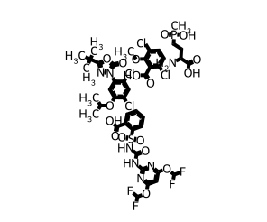 CC(C)Oc1cc(-n2nc(C(C)(C)C)oc2=O)c(Cl)cc1Cl.COc1c(Cl)ccc(Cl)c1C(=O)O.CP(=O)(O)CCC(N)C(=O)O.O=C(Nc1nc(OC(F)F)cc(OC(F)F)n1)NS(=O)(=O)c1ccccc1C(=O)O